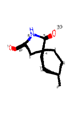 CC1CCC2(CC(=O)NC2=O)C1